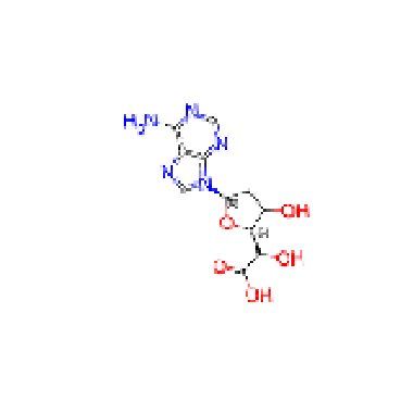 Nc1ncnc2c1ncn2[C@H]1CC(O)[C@@H](C(O)C(=O)O)O1